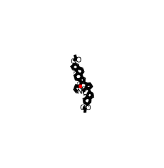 CC(=O)O[C@@H]1CC[C@]2(C)C(=CCC3C4CC=C(C5=C(c6cccnc6)[C@@]6(C)CCC7C(CC=C8C[C@@H](OC(C)=O)CC[C@@]87C)C6C5)[C@]4(C)CCC32)C1